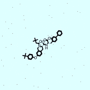 CC(C)(C)CC(=O)N1Cc2cc(Oc3ccc(C(C)(C)C)cc3)ccc2C[C@H]1C(=O)N[C@@H](Cc1ccc(-c2ccccc2)cc1)C(=O)O